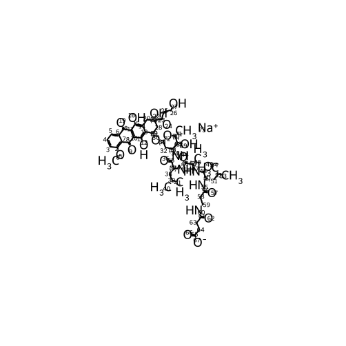 COc1cccc2c1C(=O)c1c(O)c3c(c(O)c1C2=O)C[C@@](O)(C(=O)CCO)C[C@@H]3O[C@H]1C[C@H](NC(=O)[C@H](CC(C)C)NC(=O)[C@H](C)NC(=O)[C@H](CC(C)C)NC(=O)CCNC(=O)CCC(=O)[O-])[C@H](O)[C@H](C)O1.[Na+]